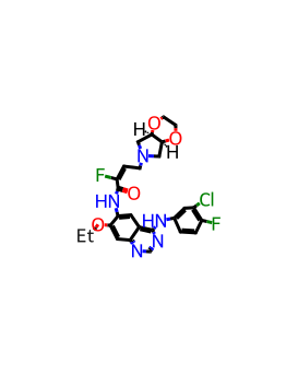 CCOc1cc2ncnc(Nc3ccc(F)c(Cl)c3)c2cc1NC(=O)/C(F)=C\CN1C[C@@H]2OCCO[C@@H]2C1